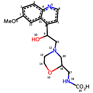 COc1ccc2nccc(C(O)CN3CCOC(CNC(=O)O)C3)c2c1